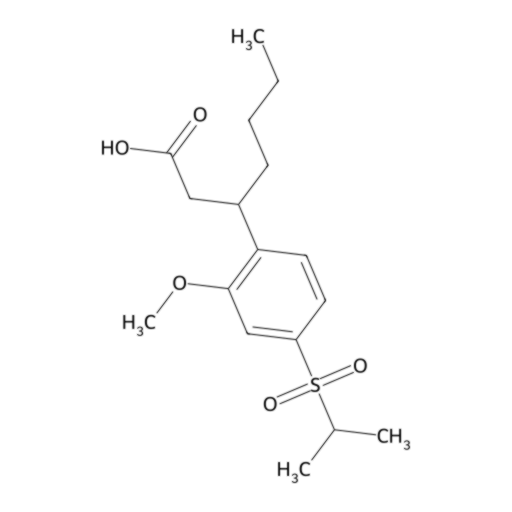 CCCCC(CC(=O)O)c1ccc(S(=O)(=O)C(C)C)cc1OC